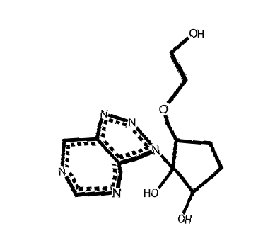 OCCOC1CCC(O)C1(O)n1nnc2cncnc21